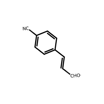 N#Cc1ccc(C=C[C]=O)cc1